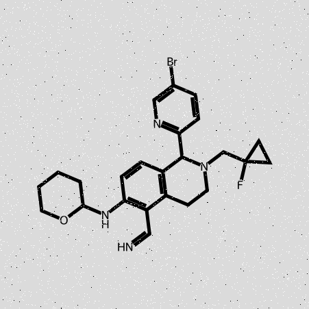 N=Cc1c(NC2CCCCO2)ccc2c1CCN(CC1(F)CC1)C2c1ccc(Br)cn1